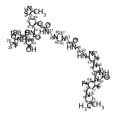 Cc1ncsc1-c1ccc(CNC(=O)[C@@H]2C[C@@H](O)CN2C(=O)[C@@H](NC(=O)C2(F)CC2)C(C)(C)C)c(OCC(=O)NCCN2CCN(CCC(=O)NCCCNc3cc(N4CCC5(CC4)CN(c4cc(F)c(CN6CCC(C)(C)CC6)cc4F)CC(=O)N5)ncn3)CC2)c1